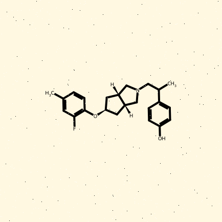 Cc1ccc(O[C@H]2C[C@@H]3CN(CC(C)c4ccc(O)cc4)C[C@@H]3C2)c(F)c1